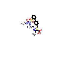 CCN1N=C(C)C(C(=O)O)=S1Cc1ccc(-c2ccccc2S(=O)(=O)NC(=O)NC)cc1